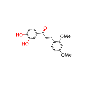 COc1ccc(/C=C/C(=O)c2ccc(O)c(O)c2)c(OC)c1